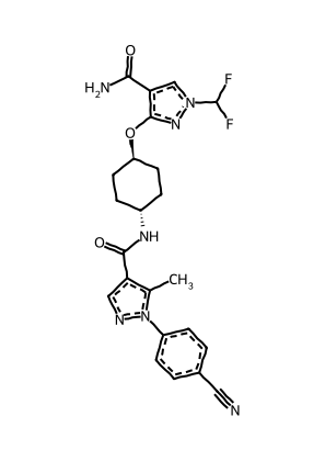 Cc1c(C(=O)N[C@H]2CC[C@H](Oc3nn(C(F)F)cc3C(N)=O)CC2)cnn1-c1ccc(C#N)cc1